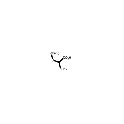 CCCCCCC(OCCCCC)C(=O)O